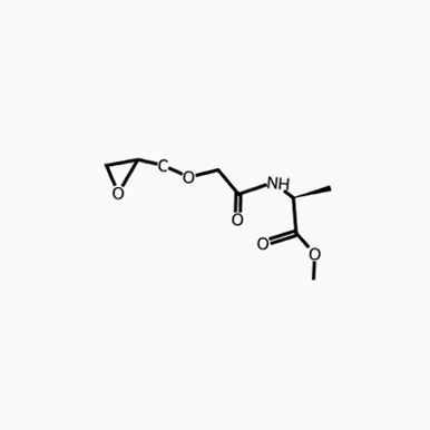 COC(=O)[C@H](C)NC(=O)COCC1CO1